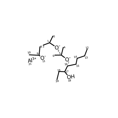 CC(C)[O-].CC(C)[O-].CC(C)[O-].CCCCCC(O)CC.[Al+3]